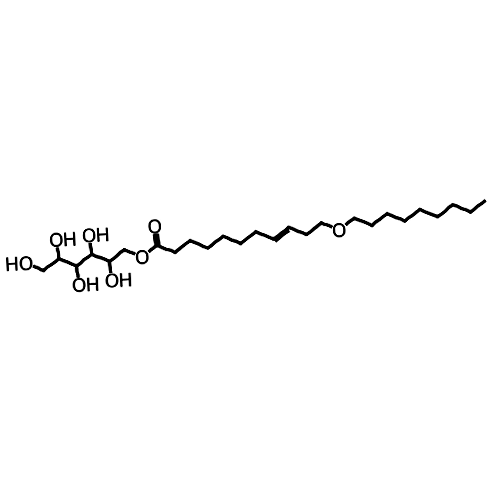 CCCCCCCCCOCCC=CCCCCCCC(=O)OCC(O)C(O)C(O)C(O)CO